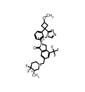 COC1CC(c2cccc(N3Cc4c(cc(CN5CCC(F)(F)[C@H](C)C5)cc4C(F)(F)F)C3=O)c2)(c2nncn2C)C1